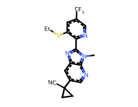 CCSc1cc(C(F)(F)F)cnc1-c1nc2cc(C3(C#N)CC3)cnc2n1C